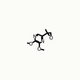 COc1ncc(C2(C)CO2)nc1OC